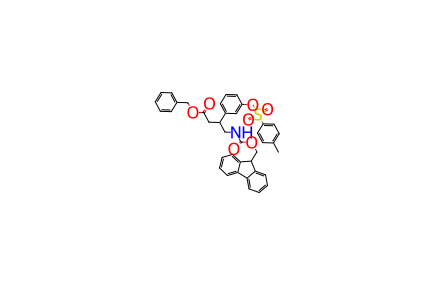 Cc1ccc(S(=O)(=O)Oc2cccc(C(CNC(=O)OCC3c4ccccc4-c4ccccc43)CC(=O)OCc3ccccc3)c2)cc1